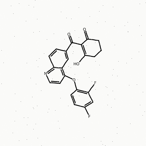 O=C1CCCC(O)=C1C(=O)c1ccc2nccc(Oc3ccc(F)cc3F)c2c1